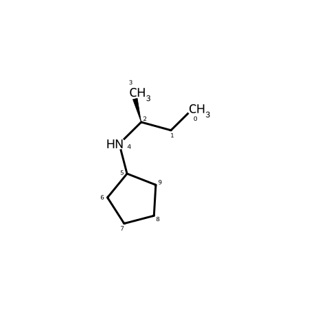 CC[C@H](C)NC1CCCC1